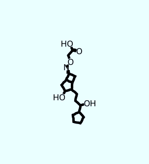 O=C(O)CON=C1CC2C1CC(O)C2CCC(O)C1CCCC1